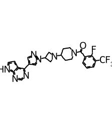 O=C(c1cccc(C(F)(F)F)c1F)N1CCC(N2CC(n3cc(-c4ncnc5[nH]ccc45)cn3)C2)CC1